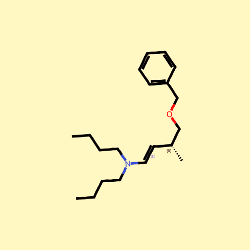 CCCCN(/C=C/[C@@H](C)COCc1ccccc1)CCCC